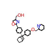 OCc1coc(-c2ccc([C@]3(c4ccc(OCc5ccccn5)cc4)CC4CCC3C4)cc2)n1